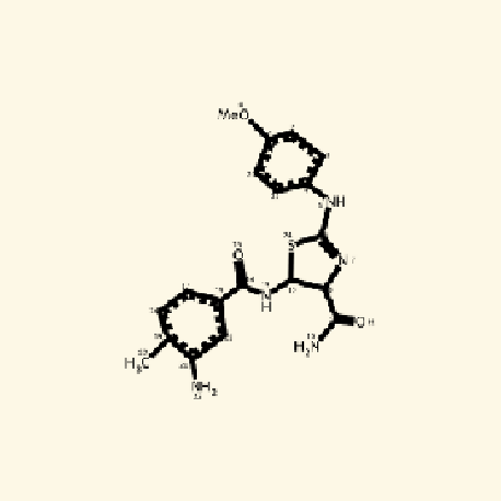 COc1ccc(NC2=NC(C(N)=O)C(NC(=O)c3ccc(C)c(N)c3)S2)cc1